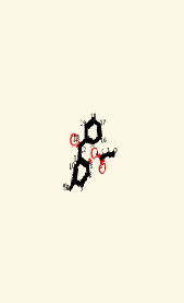 C=CC(=O)Oc1ccc(C)cc1C(=O)c1ccccc1